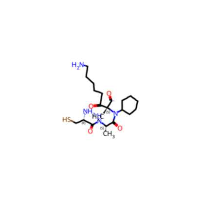 C[C@H](NC(=O)[C@@H](N)CS)C(=O)N(C1CCCCC1)[C@@](C)([C]=O)C(=O)CCCCCN